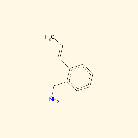 CC=Cc1ccccc1CN